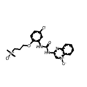 C[N+](C)([O-])CCCOc1ccc(Cl)cc1NC(=O)Nc1c[n+]([O-])c2ccccc2n1